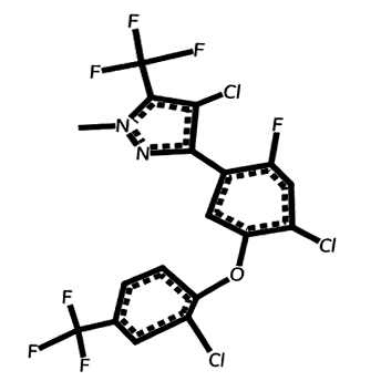 Cn1nc(-c2cc(Oc3ccc(C(F)(F)F)cc3Cl)c(Cl)cc2F)c(Cl)c1C(F)(F)F